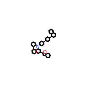 c1ccc(-c2ccccc2N(c2ccc(-c3ccc(-c4cccc5ccccc45)cc3)cc2)c2cccc(-c3cc4ccccc4o3)c2)cc1